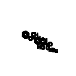 C=C(Oc1ccccc1)c1ccc2c(O)c(C(=O)OCCCC)ncc2c1